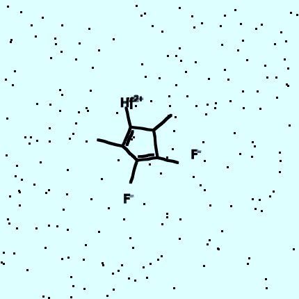 CC1=C(C)C(C)[C]([Hf+2])=C1C.[F-].[F-]